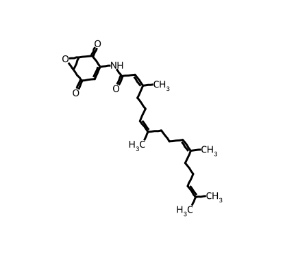 CC(C)=CCCC(C)=CCCC(C)=CCCC(C)=CC(=O)NC1=CC(=O)C2OC2C1=O